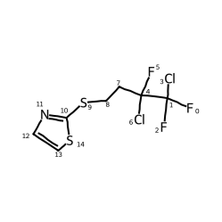 FC(F)(Cl)C(F)(Cl)CCSc1nccs1